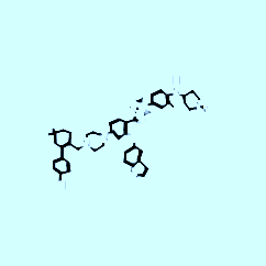 CC(=O)N1CCC(Nc2ccc(S(=O)(=O)NC(=O)c3ccc(N4CCN(CC5=C(c6ccc(Cl)cc6)CC(C)(C)CC5)CC4)cc3Oc3ccc4[nH]ccc4c3)cc2C)CC1